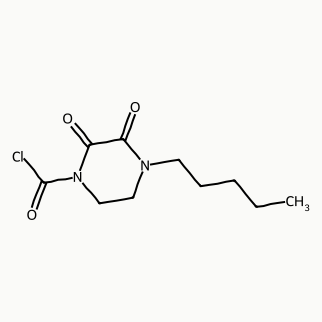 CCCCCN1CCN(C(=O)Cl)C(=O)C1=O